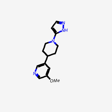 COc1cncc(C2CCN(c3ccn[nH]3)CC2)c1